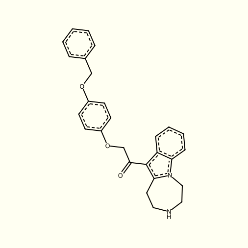 O=C(COc1ccc(OCc2ccccc2)cc1)c1c2n(c3ccccc13)CCNCC2